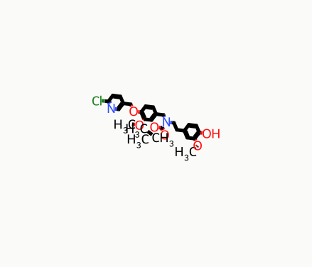 COc1cc(CCN(Cc2ccc(OCc3ccc(Cl)nc3)c(OC)c2)C(=O)OC(C)(C)C)ccc1O